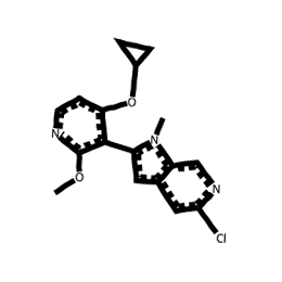 COc1nccc(OC2CC2)c1-c1cc2cc(Cl)ncc2n1C